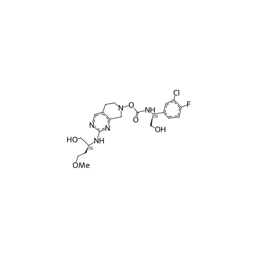 COCC[C@@H](CO)Nc1ncc2c(n1)CN(OC(=O)N[C@H](CO)c1ccc(F)c(Cl)c1)CC2